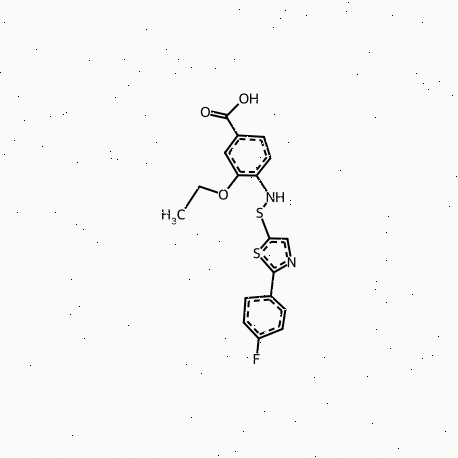 CCOc1cc(C(=O)O)ccc1NSc1cnc(-c2ccc(F)cc2)s1